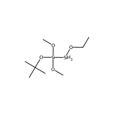 CCO[SiH2][Si](OC)(OC)OC(C)(C)C